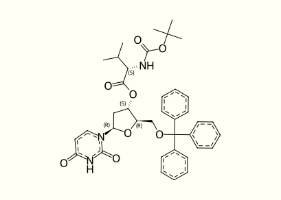 CC(C)[C@H](NC(=O)OC(C)(C)C)C(=O)O[C@H]1C[C@H](n2ccc(=O)[nH]c2=O)O[C@@H]1COC(c1ccccc1)(c1ccccc1)c1ccccc1